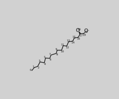 CCCCCCCCCCCCCCCCCC(=O)C[O]